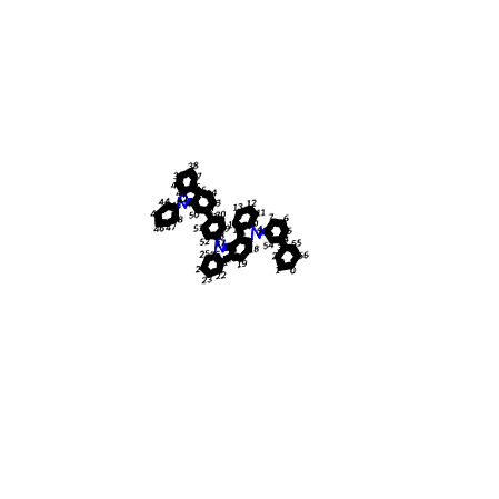 c1ccc(-c2cccc(-n3c4ccccc4c4c3ccc3c5ccccc5n(-c5ccc(-c6ccc7c8ccccc8n(-c8ccccc8)c7c6)cc5)c34)c2)cc1